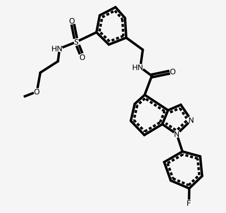 COCCNS(=O)(=O)c1cccc(CNC(=O)c2cccc3c2cnn3-c2ccc(F)cc2)c1